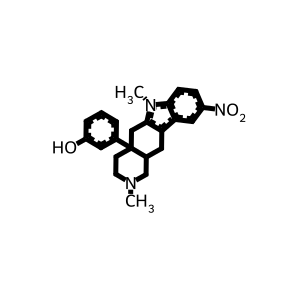 CN1CCC2(c3cccc(O)c3)Cc3c(c4cc([N+](=O)[O-])ccc4n3C)CC2C1